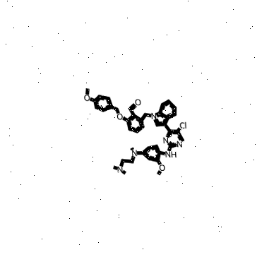 COc1ccc(COc2cccc(Cn3cc(-c4nc(Nc5ccc(N(C)CCN(C)C)cc5OC)ncc4Cl)c4ccccc43)c2C=O)cc1